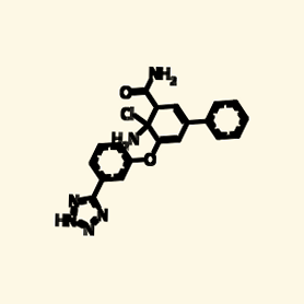 NC(=O)C1C=C(c2ccccc2)C=C(Oc2cccc(-c3nn[nH]n3)c2)C1(N)Cl